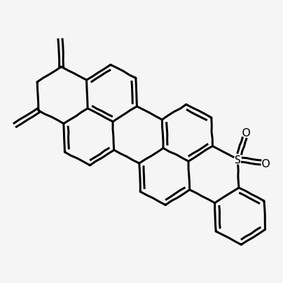 C=C1CC(=C)c2ccc3c4ccc5c6c(ccc(c7ccc1c2c73)c64)-c1ccccc1S5(=O)=O